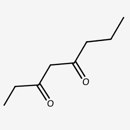 CCCC(=O)CC(=O)CC